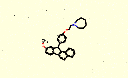 COc1ccc2c(c1)C(c1ccc(OCCN3CCCCCC3)cc1)c1c-2ccc2ccccc12